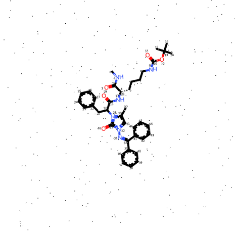 CNC(=O)[C@H](CCCCNC(=O)OC(C)(C)C)NC(=O)C(Cc1ccccc1)n1c(C)cn(N=C(c2ccccc2)c2ccccc2)c1=O